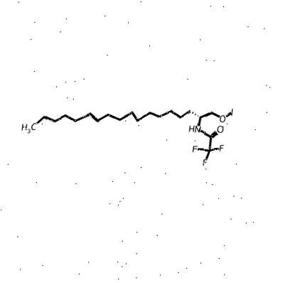 CCCCCCCCCCCCCCCC[C@H](COI)NC(=O)C(F)(F)F